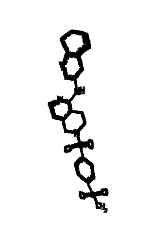 CS(=O)(=O)c1ccc(S(=O)(=O)N2CCc3c(ccnc3Nc3cnc4ccccc4c3)C2)cc1